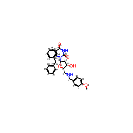 COc1ccc(CNC[C@H]2O[C@@](C(c3ccccc3)c3ccccc3)(n3cc(C)c(=O)[nH]c3=O)C[C@@H]2O)cc1